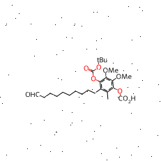 COc1c(OC(=O)O)c(C)c(CCCCCCCCCC=O)c(OC(=O)OC(C)(C)C)c1OC